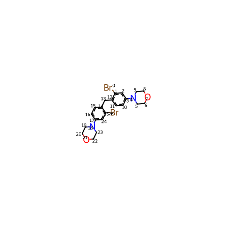 Brc1cc(N2CCOCC2)ccc1Cc1ccc(N2CCOCC2)cc1Br